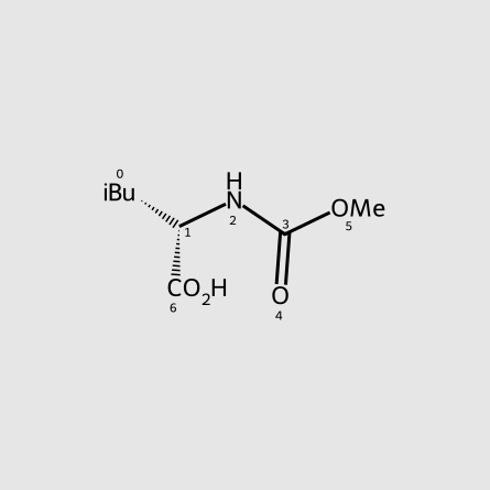 CC[C@@H](C)[C@H](NC(=O)OC)C(=O)O